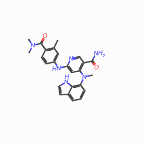 Cc1cc(Nc2cc(N(C)c3cccc4cc[nH]c34)c(C(N)=O)cn2)ccc1C(=O)N(C)C